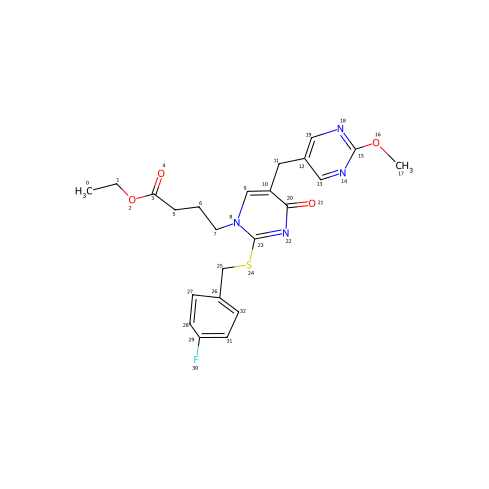 CCOC(=O)CCCn1cc(Cc2cnc(OC)nc2)c(=O)nc1SCc1ccc(F)cc1